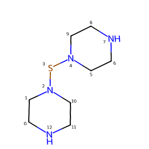 C1CN(SN2CCNCC2)CCN1